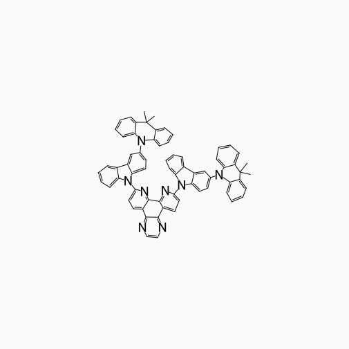 CC1(C)c2ccccc2N(c2ccc3c(c2)c2ccccc2n3-c2ccc3c4nccnc4c4ccc(-n5c6ccccc6c6cc(N7c8ccccc8C(C)(C)c8ccccc87)ccc65)nc4c3n2)c2ccccc21